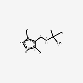 CCCC(C)(C)NCc1c(C)noc1C